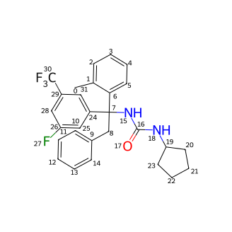 Cc1ccccc1C(Cc1ccccc1)(NC(=O)NC1CCCC1)c1cc(F)cc(C(F)(F)F)c1